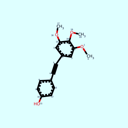 COc1cc(C#Cc2ccc(O)cc2)cc(OC)c1OC